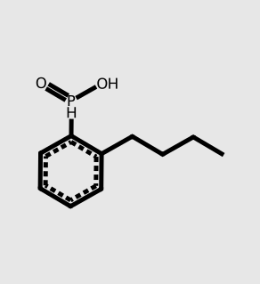 CCCCc1ccccc1[PH](=O)O